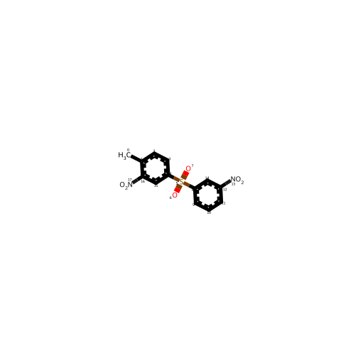 Cc1ccc(S(=O)(=O)c2cccc([N+](=O)[O-])c2)cc1[N+](=O)[O-]